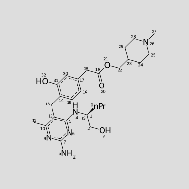 CCC[C@@H](CO)Nc1nc(N)nc(C)c1Cc1ccc(CC(=O)OCC2CCN(C)CC2)cc1O